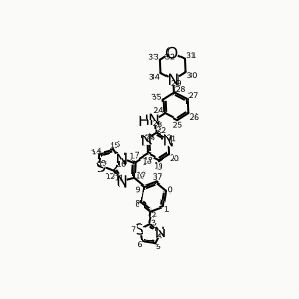 c1cc(-c2nccs2)cc(-c2nc3sccn3c2-c2ccnc(Nc3cccc(N4CCOCC4)c3)n2)c1